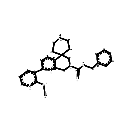 CCOc1ncccc1-c1ccc2c(n1)CN(C(=O)OCc1ccccc1)CC21CCNCC1